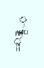 Cl.Cl.c1ccc(CCCNCC2CCCNC2)cc1